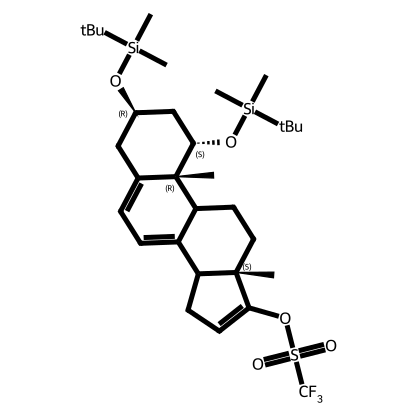 CC(C)(C)[Si](C)(C)O[C@@H]1CC2=CC=C3C(CC[C@]4(C)C(OS(=O)(=O)C(F)(F)F)=CCC34)[C@@]2(C)[C@@H](O[Si](C)(C)C(C)(C)C)C1